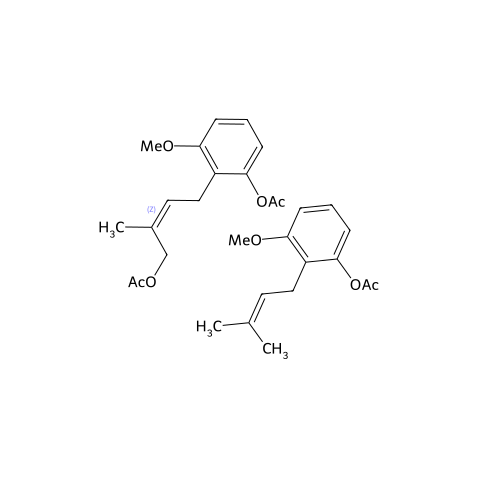 COc1cccc(OC(C)=O)c1C/C=C(/C)COC(C)=O.COc1cccc(OC(C)=O)c1CC=C(C)C